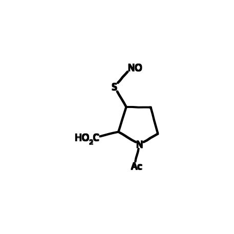 CC(=O)N1CCC(SN=O)C1C(=O)O